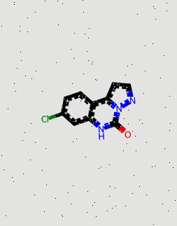 O=c1[nH]c2cc(Cl)ccc2c2ccnn12